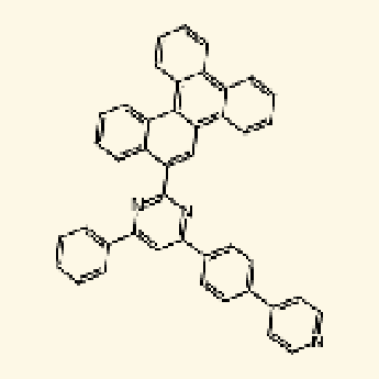 c1ccc(-c2cc(-c3ccc(-c4ccncc4)cc3)nc(-c3cc4c5ccccc5c5ccccc5c4c4ccccc34)n2)cc1